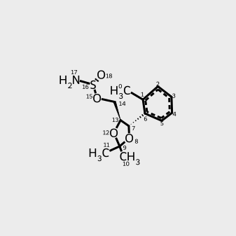 Cc1ccccc1[C@@H]1OC(C)(C)O[C@H]1COS(N)=O